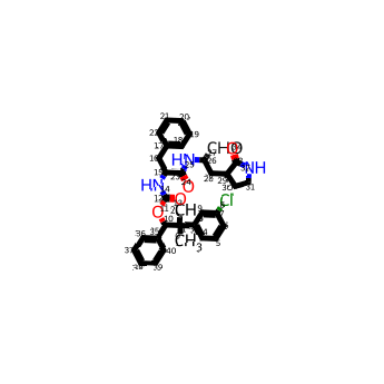 CC(C)(c1cccc(Cl)c1)C(OC(=O)NC(Cc1ccccc1)C(=O)NC(C=O)CC1CCNC1=O)c1ccccc1